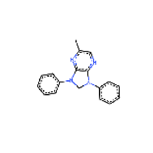 Cc1cnc2c(n1)N(c1ccccc1)CN2c1ccccc1